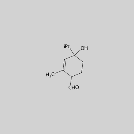 CC1=CC(O)(C(C)C)CCC1C=O